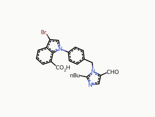 CCCCc1ncc(C=O)n1Cc1ccc(-n2cc(Br)c3cccc(C(=O)O)c32)cc1